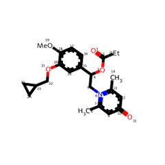 CCC(=O)OC(Cn1c(C)cc(=O)cc1C)c1ccc(OC)c(OCC2CC2)c1